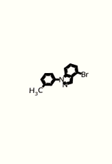 Cc1cccc(-n2ncc3c(Br)cccc32)c1